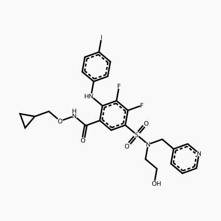 O=C(NOCC1CC1)c1cc(S(=O)(=O)N(CCO)Cc2cccnc2)c(F)c(F)c1Nc1ccc(I)cc1